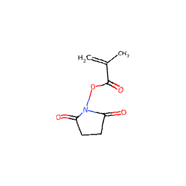 C=C(C)C(=O)ON1C(=O)CCC1=O